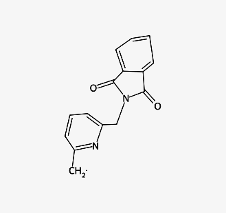 [CH2]c1cccc(CN2C(=O)c3ccccc3C2=O)n1